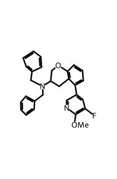 COc1ncc(-c2cccc3c2CC(N(Cc2ccccc2)Cc2ccccc2)CO3)cc1F